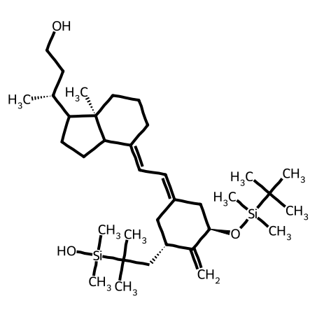 C=C1[C@H](CC(C)(C)[Si](C)(C)O)C/C(=C\C=C2/CCC[C@@]3(C)C2CCC3[C@H](C)CCO)C[C@H]1O[Si](C)(C)C(C)(C)C